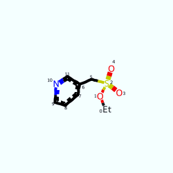 CCOS(=O)(=O)Cc1cccnc1